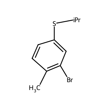 Cc1ccc(SC(C)C)cc1Br